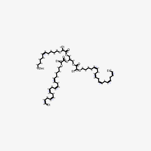 CC/C=C\C/C=C\C/C=C\C/C=C\C/C=C\CCCCOC(CC)C(=O)OCC(COC(=O)C(CC)OCCCC/C=C\CCCCCCCCCCCCCC)OC(=O)C(CC)OCCCC/C=C\C/C=C\C/C=C\C/C=C\C/C=C\CC